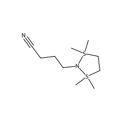 CS1(C)CCS(C)(C)N1CCCC#N